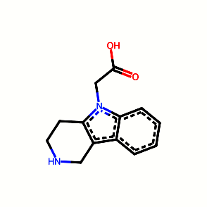 O=C(O)Cn1c2c(c3ccccc31)CNCC2